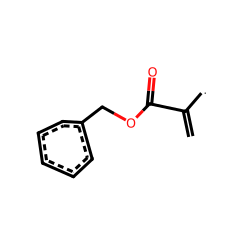 [CH2]C(=C)C(=O)OCc1ccccc1